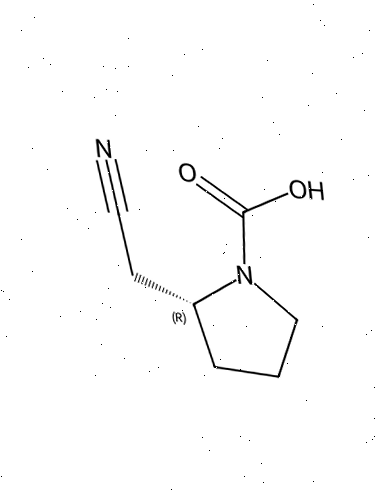 N#CC[C@H]1CCCN1C(=O)O